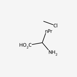 CCCC(N)C(=O)O.CCl